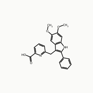 COc1cc2[nH]c(-c3ccccc3)c(Cc3cccc(C(=O)O)n3)c2cc1OC